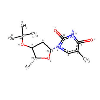 CC(=O)[C@H]1O[C@@H](n2cc(C)c(=O)[nH]c2=O)CC1O[Si](C)(C)C(C)(C)C